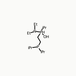 CCN(CC)[PH](O)(CCP(C(C)C)C(C)C)C(C)C